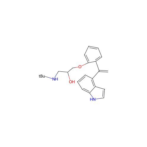 C=C(c1ccccc1OCC(O)CNC(C)(C)C)c1cccc2[nH]ccc12